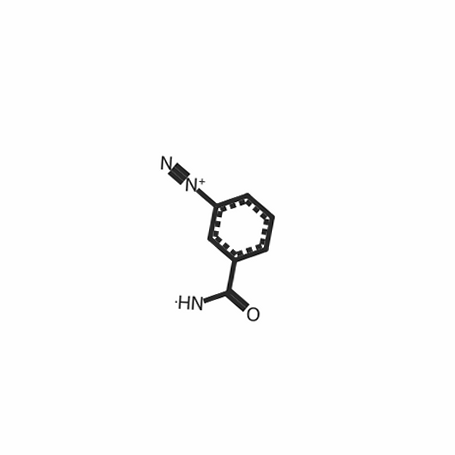 N#[N+]c1cccc(C([NH])=O)c1